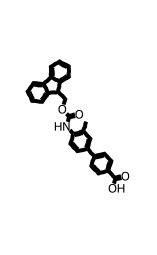 Cc1cc(-c2ccc(C(=O)O)cc2)ccc1NC(=O)OCC1c2ccccc2-c2ccccc21